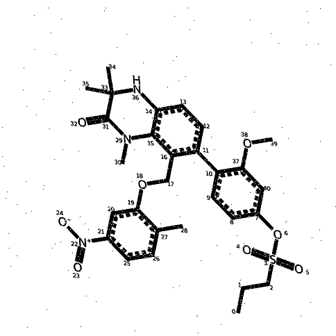 CCCS(=O)(=O)Oc1ccc(-c2ccc3c(c2COc2cc([N+](=O)[O-])ccc2C)N(C)C(=O)C(C)(C)N3)c(OC)c1